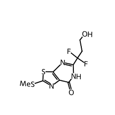 CSc1nc2c(=O)[nH]c(C(F)(F)CCO)nc2s1